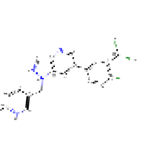 Fc1ccc(-c2cnc3cnn(Cc4ccc(Br)nc4)c3c2)cc1C(F)F